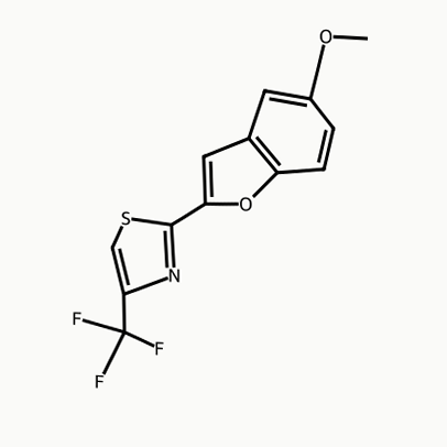 COc1ccc2oc(-c3nc(C(F)(F)F)cs3)cc2c1